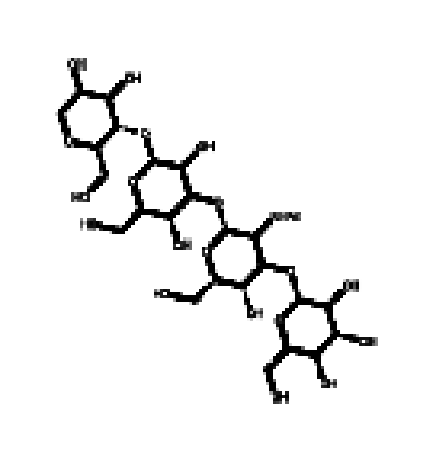 CC(=O)NC1C(O[C@@H]2OC(CO)[C@H](O)[C@H](O)C2O)[C@H](O)[C@@H](CO)O[C@H]1OC1C(O)[C@H](O[C@H]2C(O)C(O)CO[C@@H]2CO)OC(CO)[C@@H]1O